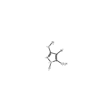 CCOc1n[s+]([O-])c(C(=O)O)c1Br